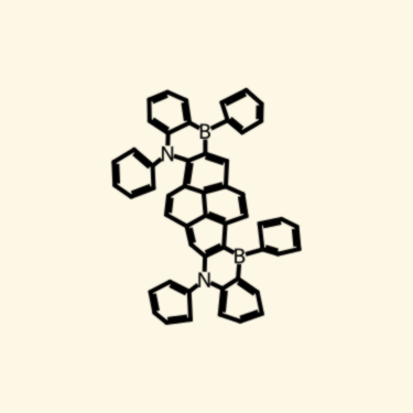 c1ccc(B2c3ccccc3N(c3ccccc3)c3c2cc2ccc4c5c(cc6ccc3c2c64)N(c2ccccc2)c2ccccc2B5c2ccccc2)cc1